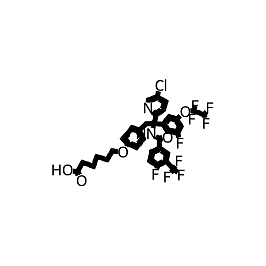 O=C(O)CCCCCOc1ccc(CC(NC(=O)c2ccc(F)c(C(F)(F)F)c2)(c2cc(F)cc(OC(F)(F)C(F)F)c2)c2ccc(Cl)cn2)cc1